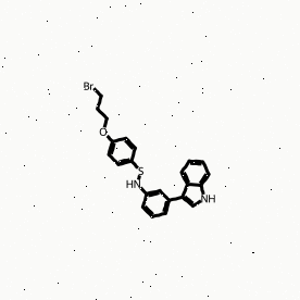 BrCCCOc1ccc(SNc2cccc(-c3c[nH]c4ccccc34)c2)cc1